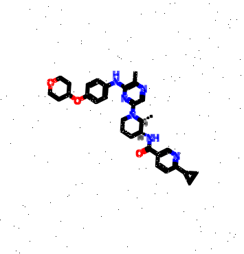 Cc1ncc(N2CCC[C@@H](NC(=O)c3ccc(C4CC4)nc3)[C@H]2C)nc1Nc1ccc(OC2CCOCC2)cc1